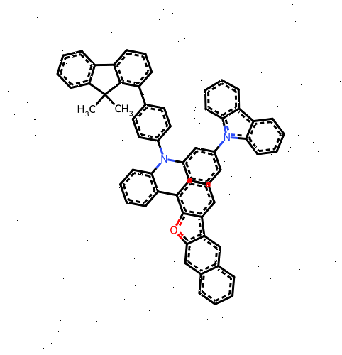 CC1(C)c2ccccc2-c2cccc(-c3ccc(N(c4cccc(-n5c6ccccc6c6ccccc65)c4)c4ccccc4-c4cccc5c4oc4cc6ccccc6cc45)cc3)c21